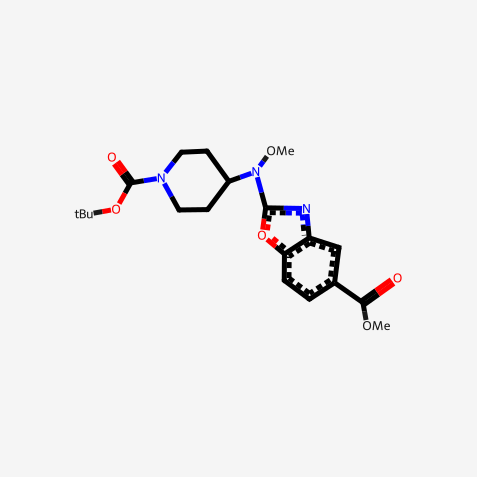 COC(=O)c1ccc2oc(N(OC)C3CCN(C(=O)OC(C)(C)C)CC3)nc2c1